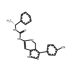 C[C@@H](NC(=O)NC1=Cc2[nH]nc(-c3ccc(C#N)cc3)c2CN1)c1ccccc1